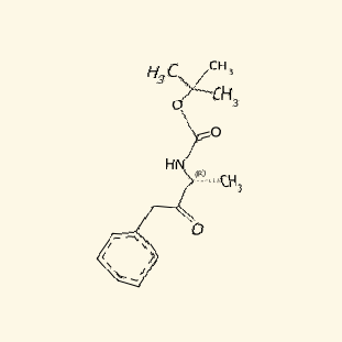 C[C@@H](NC(=O)OC(C)(C)C)C(=O)Cc1ccccc1